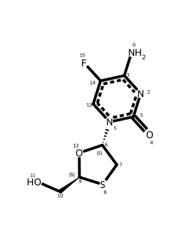 Nc1nc(=O)n([C@@H]2CS[C@@H](CO)O2)cc1F